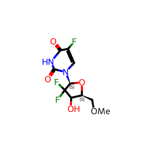 COC[C@@H]1O[C@H](n2cc(F)c(=O)[nH]c2=O)C(F)(F)C1O